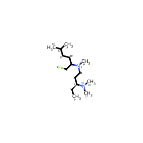 CC[C@@H](CCN(C)C(CF)CCC(C)C)N(C)C